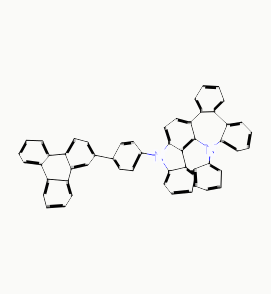 c1ccc(N2c3ccccc3-c3ccccc3-c3ccc4c(c32)c2ccccc2n4-c2ccc(-c3ccc4c5ccccc5c5ccccc5c4c3)cc2)cc1